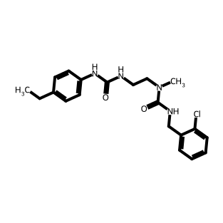 CCc1ccc(NC(=O)NCCN(C)C(=O)NCc2ccccc2Cl)cc1